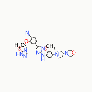 COc1cc(N2CCC(N3CCOCC3)CC2)ccc1Nc1ncc(-c2ccc(C#N)c(OC(C)Cn3cn[nH]c3=O)c2)cn1